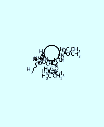 CCCS(=O)(=O)NC(=O)[C@@]12C[C@H]1CCCCCCC[C@H](NC(=O)OC(C)(C)C)C(=O)N1C[C@H](O[Si](C)(C)C(C)(C)C)C[C@H]1C(=O)N2